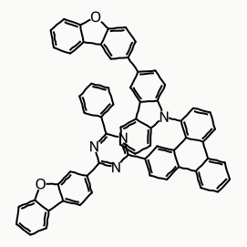 c1ccc(-c2nc(-c3ccc4c(c3)oc3ccccc34)nc(-c3ccc4c5ccccc5c5cccc(-n6c7ccccc7c7cc(-c8ccc9oc%10ccccc%10c9c8)ccc76)c5c4c3)n2)cc1